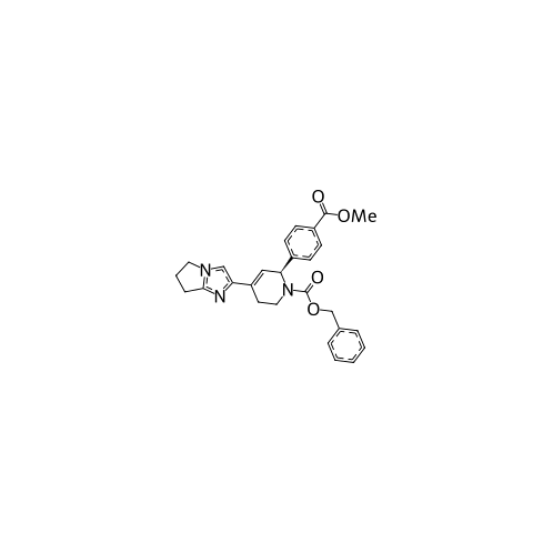 COC(=O)c1ccc([C@@H]2C=C(c3cn4c(n3)CCC4)CCN2C(=O)OCc2ccccc2)cc1